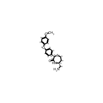 COc1ccc(Oc2ccc([C@H]3SCC[C@@H](CN)NC3=O)cc2)cc1